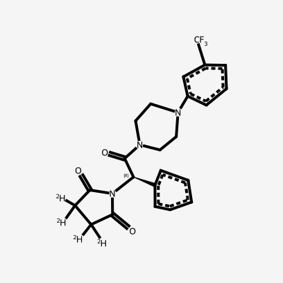 [2H]C1([2H])C(=O)N([C@@H](C(=O)N2CCN(c3cccc(C(F)(F)F)c3)CC2)c2ccccc2)C(=O)C1([2H])[2H]